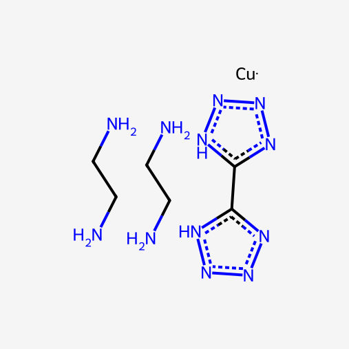 NCCN.NCCN.[Cu].n1n[nH]c(-c2nnn[nH]2)n1